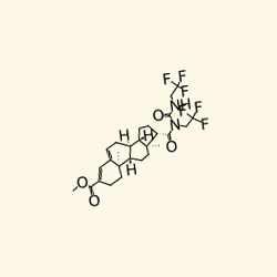 COC(=O)C1=CC2=CC[C@H]3[C@@H]4CC[C@H](C(=O)N(CC(F)(F)F)C(=O)NCC(F)(F)F)[C@@]4(C)CC[C@@H]3[C@@]2(C)CC1